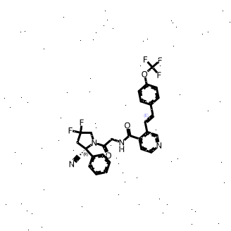 N#C[C@]1(c2ccccc2)CC(F)(F)CN1C(=O)CNC(=O)c1ccncc1/C=C/c1ccc(OC(F)(F)F)cc1